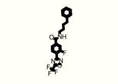 O=C(NCCCCc1ccccc1)c1ccc(-c2noc(C(F)(F)F)n2)c(F)c1